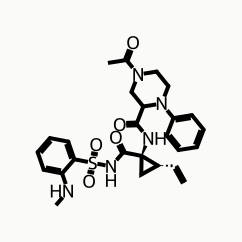 C=C[C@@H]1C[C@]1(NC(=O)C1CN(C(C)=O)CCN1c1ccccc1)C(=O)NS(=O)(=O)c1ccccc1NC